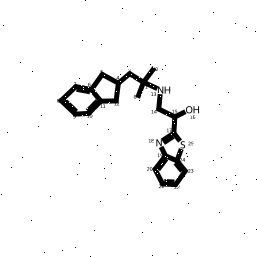 CC(C)(CC1Cc2ccccc2C1)NCC(O)c1nc2ccccc2s1